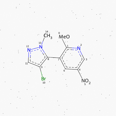 COc1ncc([N+](=O)[O-])cc1-c1c(Br)cnn1C